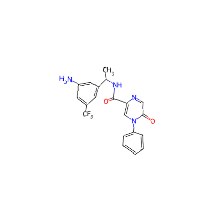 CC(NC(=O)c1cn(-c2ccccc2)c(=O)cn1)c1cc(N)cc(C(F)(F)F)c1